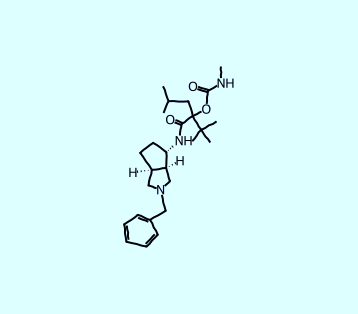 CNC(=O)OC(CC(C)C)(C(=O)N[C@H]1CC[C@@H]2CN(Cc3ccccc3)C[C@@H]21)C(C)(C)C